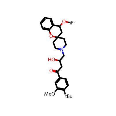 COc1cc(C(=O)CC(O)CN2CCC3(CC2)CC(OC(C)C)c2ccccc2O3)ccc1C(C)(C)C